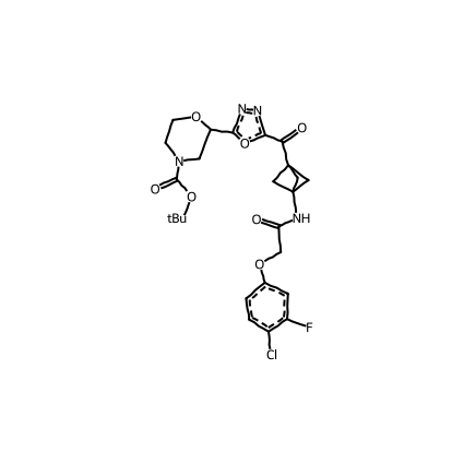 CC(C)(C)OC(=O)N1CCOC(c2nnc(C(=O)C34CC(NC(=O)COc5ccc(Cl)c(F)c5)(C3)C4)o2)C1